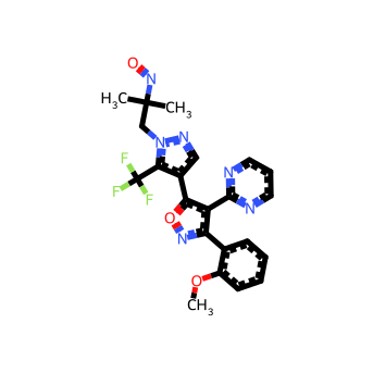 COc1ccccc1-c1noc(-c2cnn(CC(C)(C)N=O)c2C(F)(F)F)c1-c1ncccn1